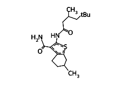 CC1CCc2c(sc(NC(=O)CC(C)CC(C)(C)C)c2C(N)=O)C1